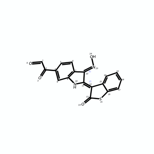 O=CC(=O)c1ccc2c(c1)NC(=C1\C(=O)Sc3ccccc31)/C2=N/O